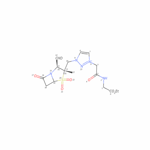 CCOC(=O)CNC(=O)C[n+]1ccn(C[C@@]2(C)[C@H](C=O)N3C(=O)CC3S2(=O)=O)n1